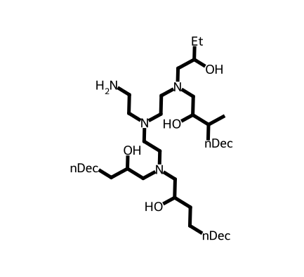 CCCCCCCCCCCCC(O)CN(CCN(CCN)CCN(CC(O)CC)CC(O)C(C)CCCCCCCCCC)CC(O)CCCCCCCCCCC